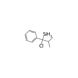 CC(C)C([SiH3])(Cl)c1ccccc1